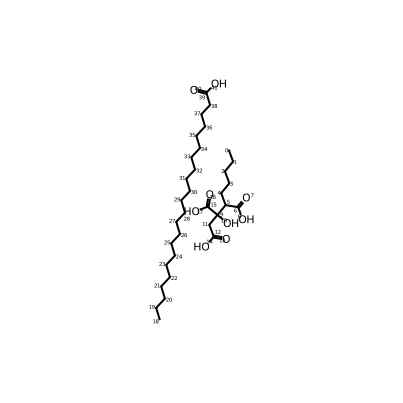 CCCCCC(C(=O)O)C(O)(CC(=O)O)C(=O)O.CCCCCCCCCCCCCCCCCCCCCC(=O)O